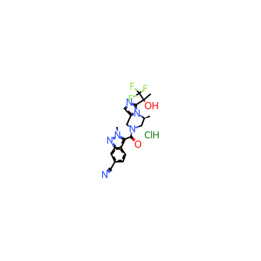 C[C@H]1CN(C(=O)c2c3ccc(C#N)cc3nn2C)Cc2cnc(C(C)(O)C(F)(F)F)n21.Cl